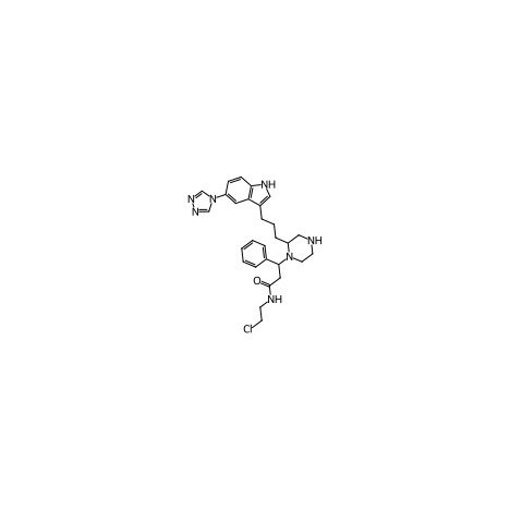 O=C(CC(c1ccccc1)N1CCNCC1CCCc1c[nH]c2ccc(-n3cnnc3)cc12)NCCCl